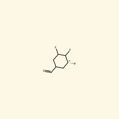 O=CC1CC(F)C(F)[C@H](F)C1